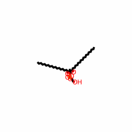 CCCCCCCCCCCCCCCCCC(=O)C(C)(COS(=O)(=O)OCCO)C(=O)CCCCCCCCCCCCCCCCC